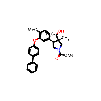 COC(=O)N1C[C@@H](c2ccc(OC)c(Oc3ccc(-c4ccccc4)cc3)c2)[C@](C)([C@@H](C)O)C1